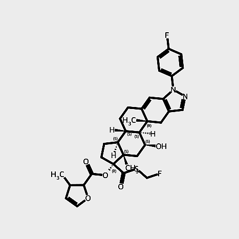 CC1C=COC1C(=O)O[C@]1(C(=O)SCF)CC[C@H]2[C@@H]3CCC4=Cc5c(cnn5-c5ccc(F)cc5)C[C@]4(C)[C@H]3[C@@H](O)C[C@@]21C